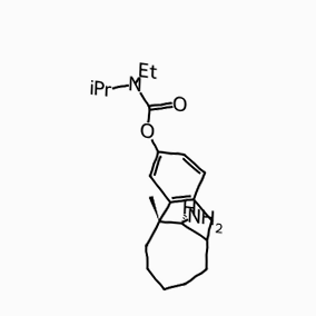 CCN(C(=O)Oc1ccc2c(c1)[C@@]1(C)CCCCCC(C2)[C@@H]1N)C(C)C